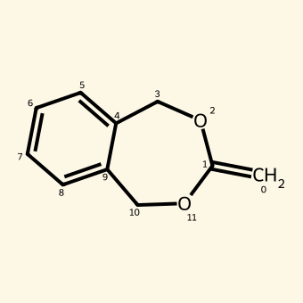 C=C1OCc2ccccc2CO1